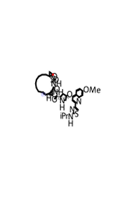 COc1ccc2c(O[C@H]3CN[C@H](C(=O)N[C@]45C[C@H]4/C=C/CCCCCCCC4(CC4)S(=O)(=O)NC5=O)C3)cc(-c3csc(NC(C)C)n3)nc2c1